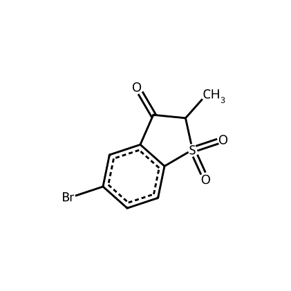 CC1C(=O)c2cc(Br)ccc2S1(=O)=O